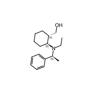 CCN([C@@H](C)c1ccccc1)[C@H]1CCCC[C@@H]1CO